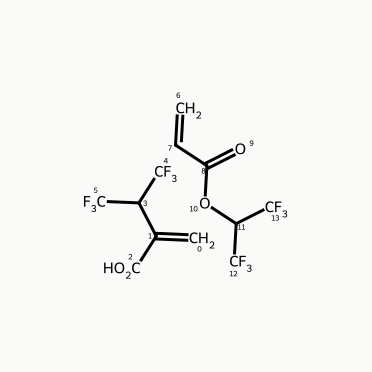 C=C(C(=O)O)C(C(F)(F)F)C(F)(F)F.C=CC(=O)OC(C(F)(F)F)C(F)(F)F